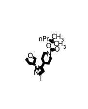 CCCC(C)(C)OC(=O)N1CCC(c2cc(I)nn2C2CCOC2)CC1